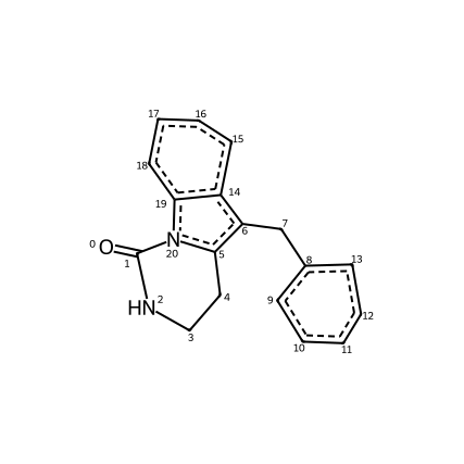 O=C1NCCc2c(Cc3ccccc3)c3ccccc3n21